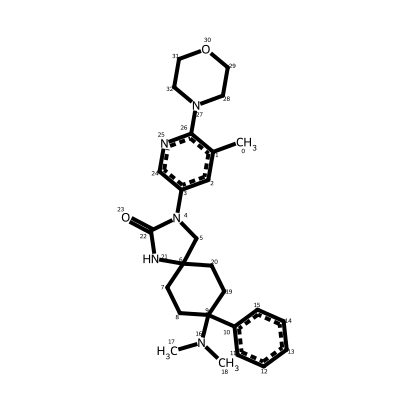 Cc1cc(N2CC3(CCC(c4ccccc4)(N(C)C)CC3)NC2=O)cnc1N1CCOCC1